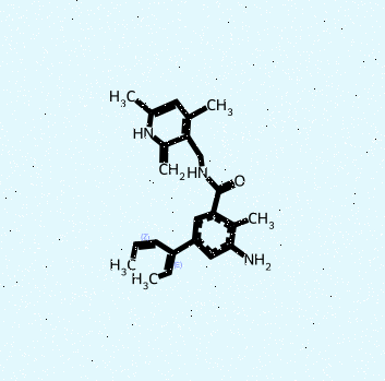 C=C1NC(C)=CC(C)=C1CNC(=O)c1cc(C(/C=C\C)=C/C)cc(N)c1C